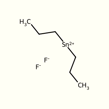 CC[CH2][Sn+2][CH2]CC.[F-].[F-]